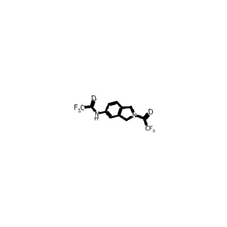 O=C(Nc1ccc2c(c1)CN(C(=O)C(F)(F)F)C2)C(F)(F)F